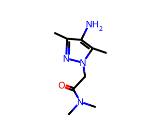 Cc1nn(CC(=O)N(C)C)c(C)c1N